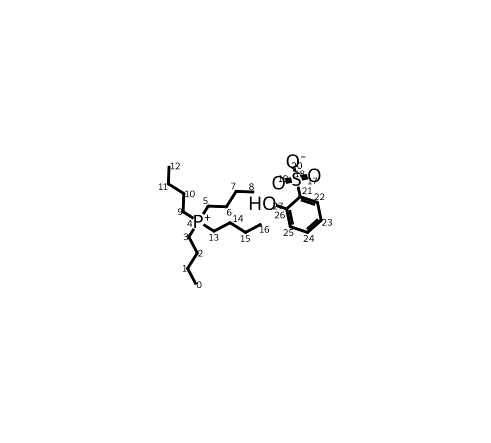 CCCC[P+](CCCC)(CCCC)CCCC.O=S(=O)([O-])c1ccccc1O